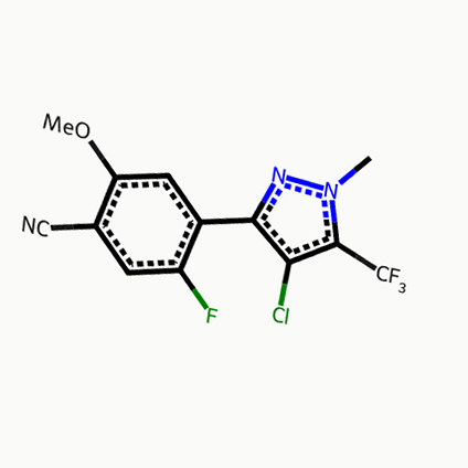 COc1cc(-c2nn(C)c(C(F)(F)F)c2Cl)c(F)cc1C#N